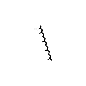 C=C(O)/C=C(C)/C=C/C=C(C)/C=C/C=C(\C)CCC=C(C)C